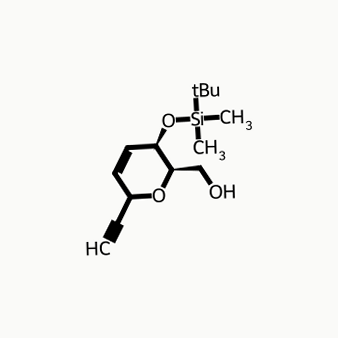 C#CC1C=C[C@@H](O[Si](C)(C)C(C)(C)C)[C@@H](CO)O1